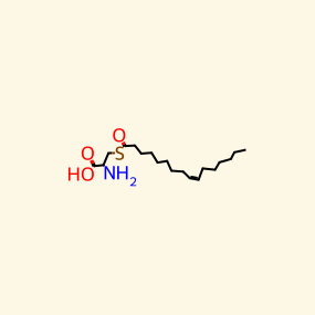 CCCCCC/C=C\CCCCCCCC(=O)SC[C@H](N)C(=O)O